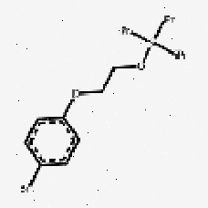 CC(C)[Si](OCCOc1ccc(Br)cc1)(C(C)C)C(C)C